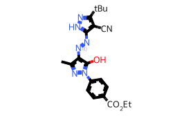 CCOC(=O)c1ccc(-n2nc(C)c(/N=N/c3[nH]nc(C(C)(C)C)c3C#N)c2O)cc1